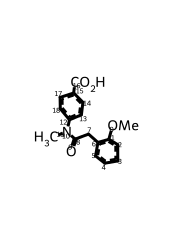 COc1ccccc1CC(=O)N(C)c1ccc(C(=O)O)cc1